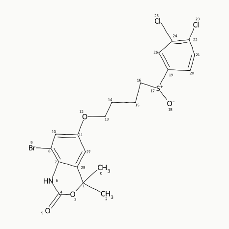 CC1(C)OC(=O)Nc2c(Br)cc(OCCCC[S+]([O-])c3ccc(Cl)c(Cl)c3)cc21